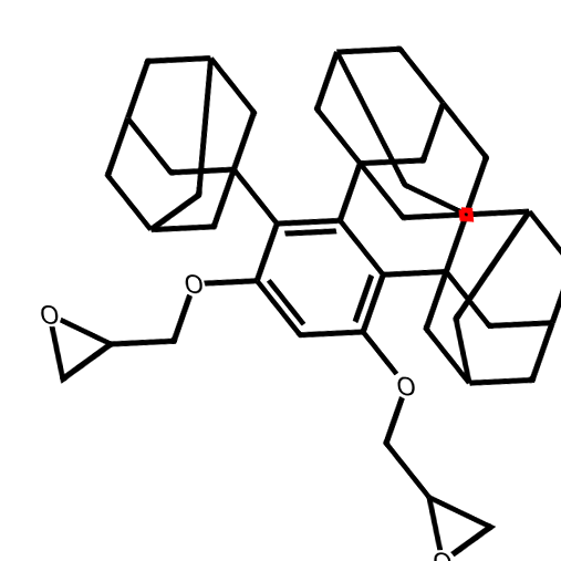 c1c(OCC2CO2)c(C23CC4CC(CC(C4)C2)C3)c(C23CC4CC(CC(C4)C2)C3)c(C23CC4CC(CC(C4)C2)C3)c1OCC1CO1